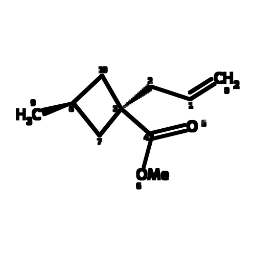 C=CC[C@]1(C(=O)OC)C[C@@H](C)C1